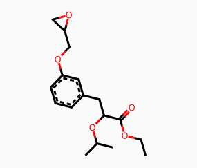 CCOC(=O)C(Cc1cccc(OCC2CO2)c1)OC(C)C